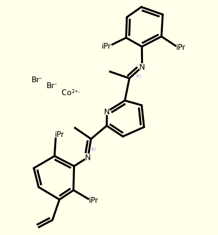 C=Cc1ccc(C(C)C)c(/N=C(\C)c2cccc(/C(C)=N/c3c(C(C)C)cccc3C(C)C)n2)c1C(C)C.[Br-].[Br-].[Co+2]